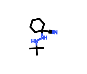 CC(C)(C)NNC1(C#N)CCCCC1